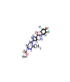 CC1CN(C(=O)OC(C)(C)C)CCN1c1ccc(C(=O)Nc2cc(F)c(Br)c(F)c2)cn1